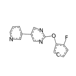 Fc1ccccc1Oc1ncc(-c2cccnc2)cn1